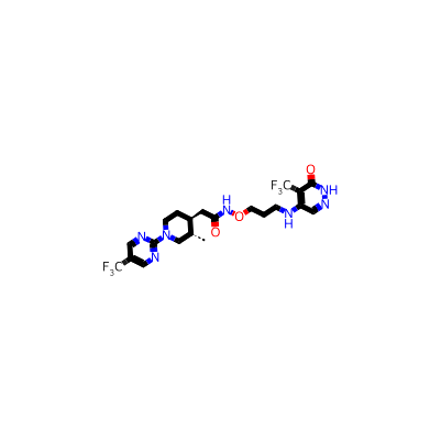 C[C@@H]1CN(c2ncc(C(F)(F)F)cn2)CC[C@H]1CC(=O)NOCCCNc1cn[nH]c(=O)c1C(F)(F)F